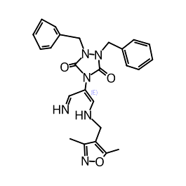 Cc1noc(C)c1CN/C=C(\C=N)n1c(=O)n(Cc2ccccc2)n(Cc2ccccc2)c1=O